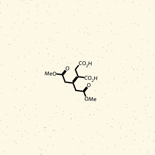 COC(=O)CC(CC(=O)OC)=C(CC(=O)O)C(=O)O